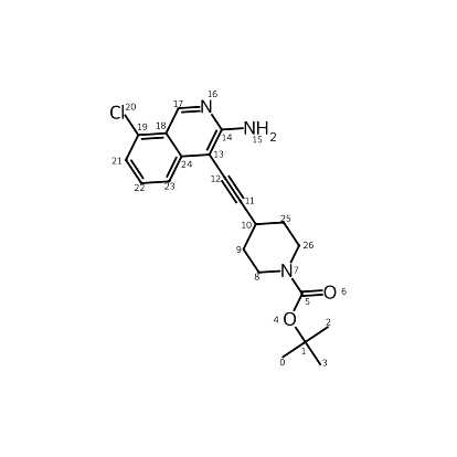 CC(C)(C)OC(=O)N1CCC(C#Cc2c(N)ncc3c(Cl)cccc23)CC1